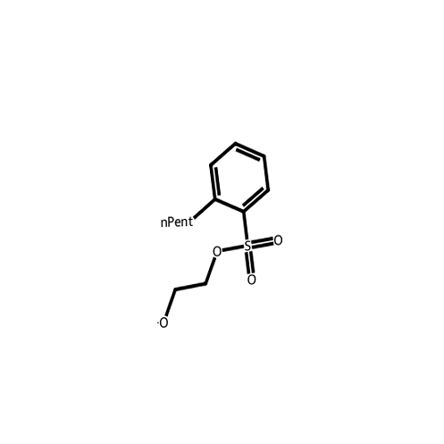 CCCCCc1ccccc1S(=O)(=O)OCC[O]